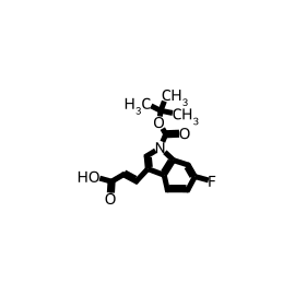 CC(C)(C)OC(=O)n1cc(C=CC(=O)O)c2ccc(F)cc21